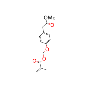 C=C(C)C(=O)OCOc1ccc(CC(=O)OC)cc1